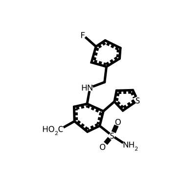 NS(=O)(=O)c1cc(C(=O)O)cc(NCc2cccc(F)c2)c1-c1ccsc1